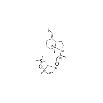 C[C@@H](CO[C@@H]1C=C[C@](C)(O[Si](C)(C)C)C1)[C@H]1CCC2C(=CI)CCC[C@]21C